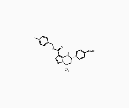 COc1ccc([C@@H]2C[C@H](C(F)(F)F)n3ncc(C(=O)NCc4ccc(C)cc4)c3N2)cc1